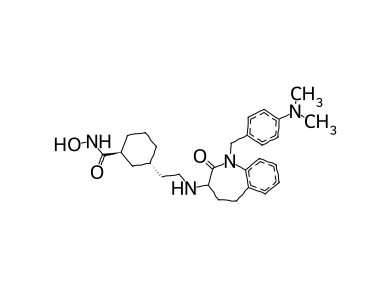 CN(C)c1ccc(CN2C(=O)C(NCC[C@H]3CCC[C@H](C(=O)NO)C3)CCc3ccccc32)cc1